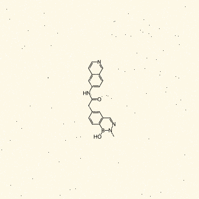 CN1N=Cc2cc(CC(=O)Nc3ccc4cnccc4c3)ccc2B1O